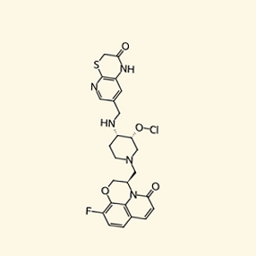 O=C1CSc2ncc(CN[C@H]3CCN(C[C@@H]4COc5c(F)ccc6ccc(=O)n4c56)C[C@H]3OCl)cc2N1